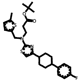 Cc1ccc(CN(CCC(=O)OC(C)(C)C)c2nc(C3CCC(c4ccc(F)cc4)CC3)cs2)s1